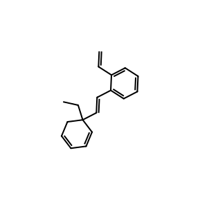 C=Cc1ccccc1C=CC1(CC)C=CC=CC1